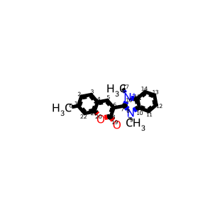 Cc1ccc2cc(-c3n(C)c4ccccc4[n+]3C)c(=O)oc2c1